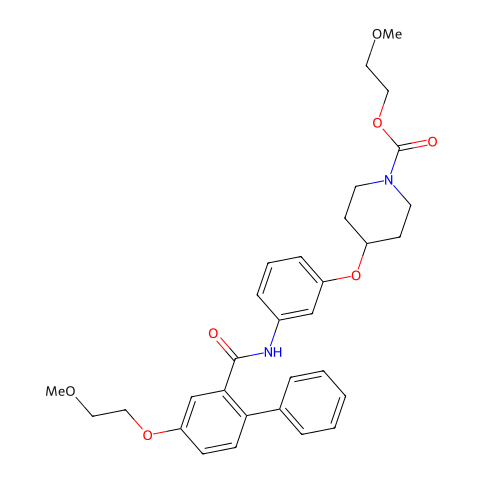 COCCOC(=O)N1CCC(Oc2cccc(NC(=O)c3cc(OCCOC)ccc3-c3ccccc3)c2)CC1